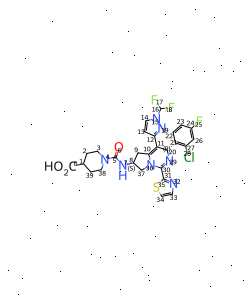 O=C(O)C1CCN(C(=O)N[C@H]2CC3=C(c4ccn(C(F)F)n4)[C@H](c4ccc(F)cc4Cl)N=C(c4nccs4)N3C2)CC1